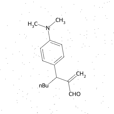 C=C(C=O)C(CCCC)c1ccc(N(C)C)cc1